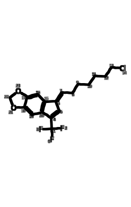 FC(F)(F)C1=C/C(=C\CCCCCCCl)c2cc3c(cc21)OCO3